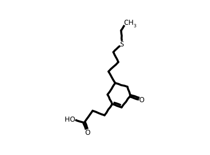 CCSCCCC1CC(=O)C=C(CCC(=O)O)C1